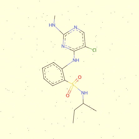 CCC(C)NS(=O)(=O)c1ccccc1Nc1nc(NC)ncc1Cl